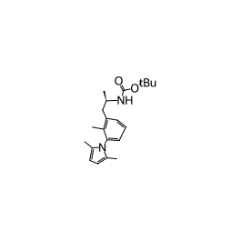 Cc1c(C[C@@H](C)NC(=O)OC(C)(C)C)cccc1-n1c(C)ccc1C